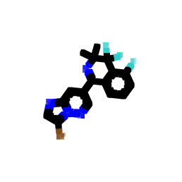 CC1(C)N=C(c2cnn3c(Br)cnc3c2)c2cccc(F)c2C1(F)F